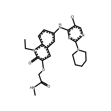 CCn1c(=O)c(OCC(=O)NC)cc2cc(Nc3nc(N4CCCCC4)ncc3Cl)ccc21